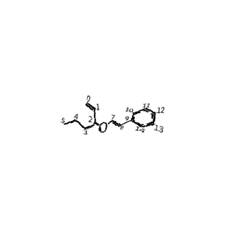 C=CC(CCC)OC=Cc1ccccc1